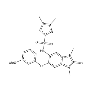 COc1cccc(Oc2cc3c(cc2NS(=O)(=O)c2cn(C)c(C)n2)n(C)c(=O)n3C)c1